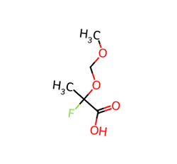 COCOC(C)(F)C(=O)O